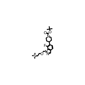 CC(C)(C)OC(=O)N1CCC(c2ccc3cnn(COCC[Si](C)(C)C)c3c2F)CC1